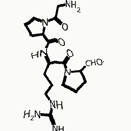 N=C(N)NCCCC(NC(=O)C1CCCN1C(=O)CN)C(=O)N1CCCC1[C]=O